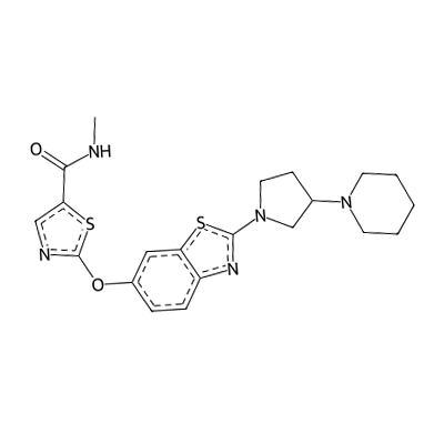 CNC(=O)c1cnc(Oc2ccc3nc(N4CCC(N5CCCCC5)C4)sc3c2)s1